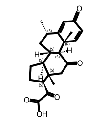 C[C@H]1C[C@H]2[C@@H]3CC[C@H](C(=O)C(=O)O)[C@@]3(C)CC(=O)[C@@H]2[C@@]2(C)C=CC(=O)C=C12